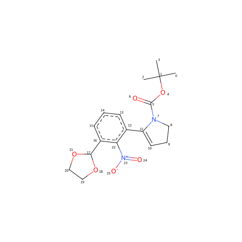 CC(C)(C)OC(=O)N1CCC=C1c1cccc(C2OCCO2)c1[N+](=O)[O-]